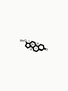 COC1CC[C@H]2[C@@H]3CCC4=CC(=O)CC[C@]4(C)[C@@H]3CC[C@]12C